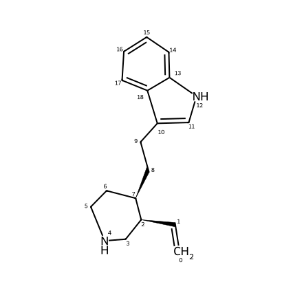 C=C[C@H]1CNCC[C@H]1CCc1c[nH]c2ccccc12